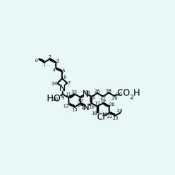 C=C/C=C\C=C\C1CN(C(O)c2ccc3nc(C(=C)/C=C\C(Cl)=C/C)c(CCCCC(=O)O)nc3c2)C1